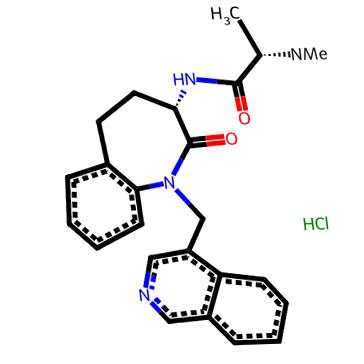 CN[C@@H](C)C(=O)N[C@H]1CCc2ccccc2N(Cc2cncc3ccccc23)C1=O.Cl